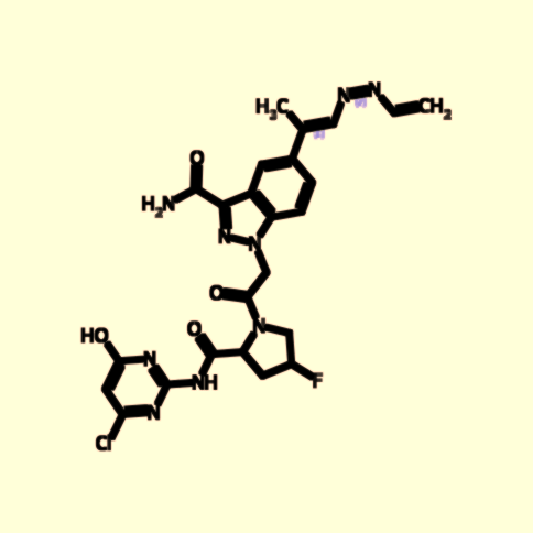 C=C/N=N\C=C(/C)c1ccc2c(c1)c(C(N)=O)nn2CC(=O)N1CC(F)CC1C(=O)Nc1nc(O)cc(Cl)n1